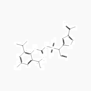 C=CC(c1cc(C(C)=O)cs1)S(=O)(=O)NC(=O)Nc1c(C(C)C)cc(Cl)cc1C(C)C